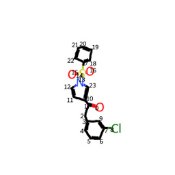 O=C(Cc1cccc(Cl)c1)c1ccn(S(=O)(=O)c2ccccc2)c1